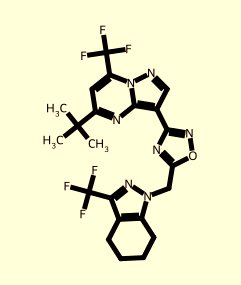 CC(C)(C)c1cc(C(F)(F)F)n2ncc(-c3noc(Cn4nc(C(F)(F)F)c5c4CCCC5)n3)c2n1